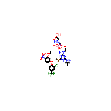 CCNc1nc(NC(C)(C)C)nc(SC)n1.CCOc1cc(Oc2ccc(C(F)(F)F)cc2Cl)ccc1[N+](=O)[O-].O=C(O)CNCP(=O)(O)O